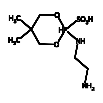 CC1(C)CO[PH](NCCN)(S(=O)(=O)O)OC1